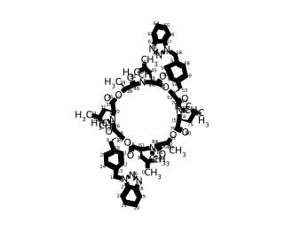 CC(C)C[C@H]1C(=O)O[C@H](Cc2ccc(Cn3nnc4ccccc43)cc2)C(=O)N(C)[C@@H](CC(C)C)C(=O)O[C@H](C)C(=O)N(C)[C@@H](CC(C)C)C(=O)O[C@H](Cc2ccc(Cn3nnc4ccccc43)cc2)C(=O)N(C)[C@@H](CC(C)C)C(=O)O[C@H](C)C(=O)N1C